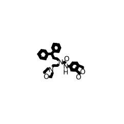 O=C1OCc2ccc(NC(=O)N(CCC(c3ccccc3)c3ccccc3)CCN3CCOCC3)cc21